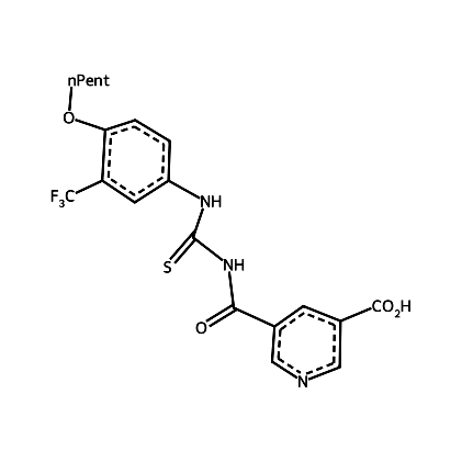 CCCCCOc1ccc(NC(=S)NC(=O)c2cncc(C(=O)O)c2)cc1C(F)(F)F